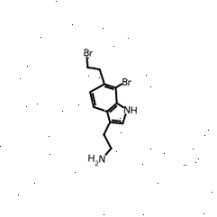 NCCc1c[nH]c2c(Br)c(CCBr)ccc12